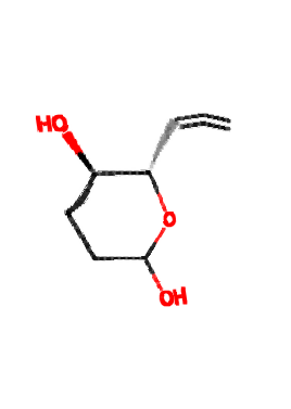 C=C[C@@H]1OC(O)CC[C@H]1O